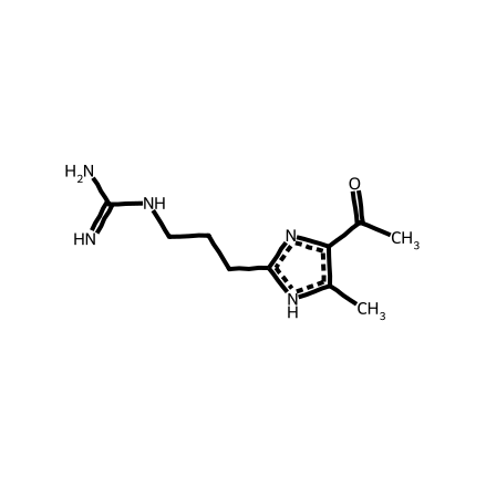 CC(=O)c1nc(CCCNC(=N)N)[nH]c1C